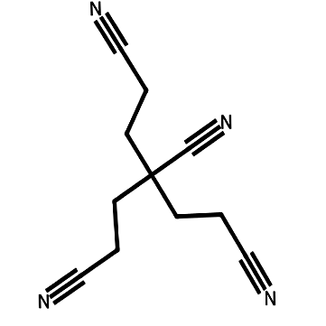 N#CCCC(C#N)(CCC#N)CCC#N